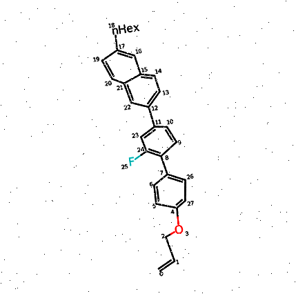 C=CCOc1ccc(-c2ccc(-c3ccc4cc(CCCCCC)ccc4c3)cc2F)cc1